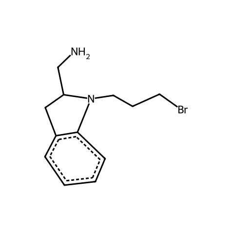 NCC1Cc2ccccc2N1CCCBr